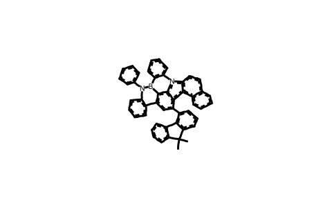 CC1(C)c2ccccc2-c2c(-c3cc4c5c6c3c3c7ccccc7ccc3n6-c3ccccc3B5N(c3ccccc3)c3ccccc3-4)cccc21